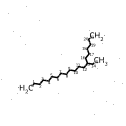 [CH2]CCCCCCCCCCCCC(CC)CCCCC[CH2]